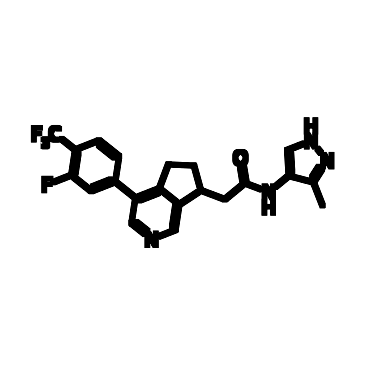 Cc1n[nH]cc1NC(=O)CC1CCc2c(-c3ccc(C(F)(F)F)c(F)c3)cncc21